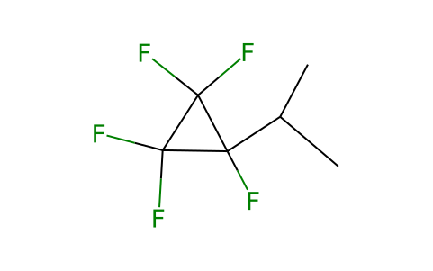 CC(C)C1(F)C(F)(F)C1(F)F